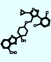 O=Cc1cccc2nc(C3(O)CCC(OCc4c(-c5c(Cl)cccc5Cl)noc4C4CC4)CC3)sc12